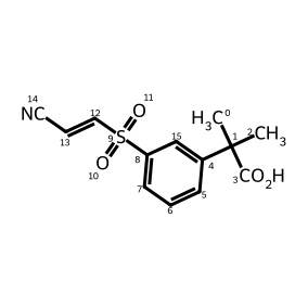 CC(C)(C(=O)O)c1cccc(S(=O)(=O)C=CC#N)c1